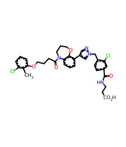 Cc1c(Cl)cccc1OCCCC(=O)N1CCCOc2c(-c3cnn(Cc4ccc(C(=O)NCCC(=O)O)cc4Cl)c3)cccc21